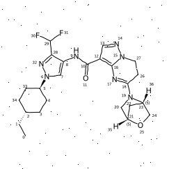 CC[C@H]1CC[C@H](n2cc(NC(=O)c3cnn4c3N=C(N3C[C@@H]5C[C@H]3CO5)CC4)c(C(F)F)n2)CC1